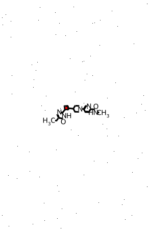 CCc1cnc(C23CC(C2)N(C2CCN(c4ccc(C(=O)NC)nc4)CC2)C3)[nH]c1=O